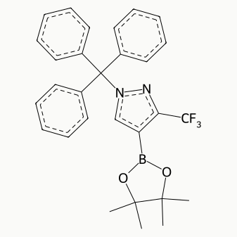 CC1(C)OB(c2cn(C(c3ccccc3)(c3ccccc3)c3ccccc3)nc2C(F)(F)F)OC1(C)C